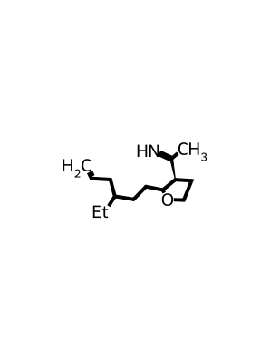 C=CCC(CC)CCC1OCC[C@@H]1C(C)=N